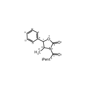 CCCC(C)C(=O)N1C(=O)OC(c2ccccc2)C1C